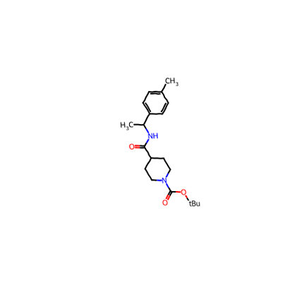 Cc1ccc(C(C)NC(=O)C2CCN(C(=O)OC(C)(C)C)CC2)cc1